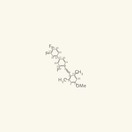 COc1cc(C)c(C#Cc2ccc(-c3ccc(F)c(F)c3)cc2F)c(C)c1